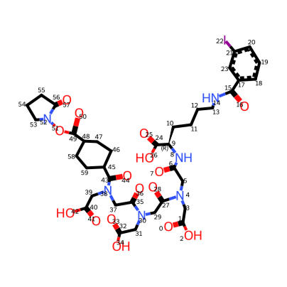 O=C(O)CN(CC(=O)N[C@H](CCCCNC(=O)c1cccc(I)c1)C(=O)O)C(=O)CN(CC(=O)O)C(=O)CN(CC(=O)O)C(=O)C1CCC(C(=O)ON2CCCC2=O)CC1